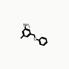 Cc1cc(N)cc(COc2cc[c]cc2)c1